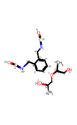 CC(O)COC(C)CO.O=C=NCc1ccccc1CN=C=O